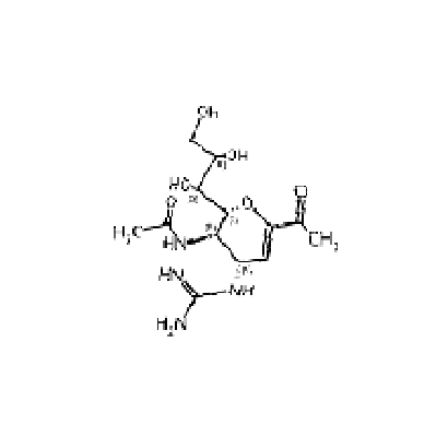 CC(=O)N[C@H]1[C@H]([C@H](O)[C@H](O)CO)OC(C(C)=O)=C[C@@H]1NC(=N)N